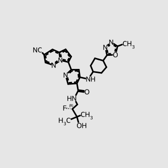 Cc1nnc(C2CCC(Nc3cc(-c4ccc5cc(C#N)cnn45)ncc3C(=O)NC[C@@H](F)C(C)(C)O)CC2)o1